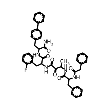 CC(NC(=O)C(Cc1ccccc1)NC(=O)Cc1ccccc1)C(=O)C(=O)NC(Cc1ccccc1F)C(=O)NC(Cc1ccc(-c2ccccc2)cc1)C(N)=O